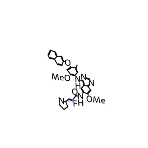 COc1cc2ncnc(Nc3cc(C)c(Oc4ccc5ccccc5c4)cc3OC)c2cc1NC(=O)/C(F)=C/C1CCCN1C